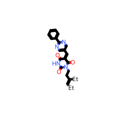 CC/C=C(\CC)CCN1C(=O)NC(=O)/C(=C\c2cnc(-c3ccccc3)nc2)C1=O